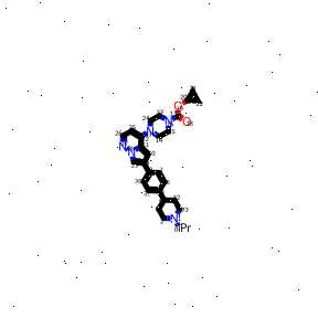 CC(C)N1CCC(c2ccc(-c3cc4c(N5CCN(C(=O)OC6CC6)CC5)ccnn4c3)cc2)CC1